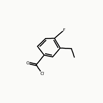 CCc1cc(C(=O)Cl)ccc1F